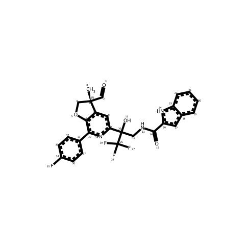 C[C@]1(C=O)COc2c1cc(C(O)(CNC(=O)c1cc3ccccc3[nH]1)C(F)(F)F)nc2-c1ccc(F)cc1